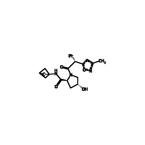 Cc1cc([C@H](C(=O)N2C[C@H](O)C[C@H]2C(=O)NC23CC(C2)C3)C(C)C)on1